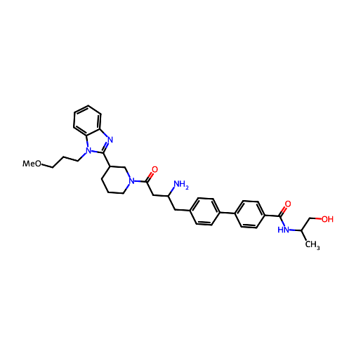 COCCCn1c(C2CCCN(C(=O)CC(N)Cc3ccc(-c4ccc(C(=O)NC(C)CO)cc4)cc3)C2)nc2ccccc21